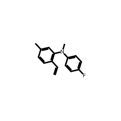 C=Cc1ccc(C)cc1N(C)c1ccc(F)cc1